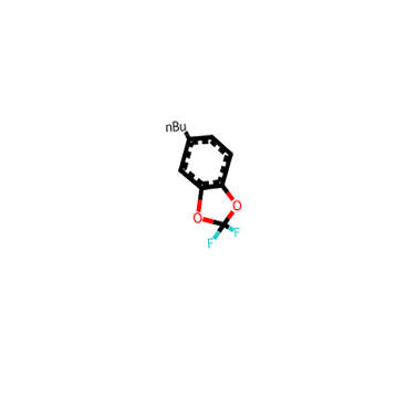 CCCCc1ccc2c(c1)OC(F)(F)O2